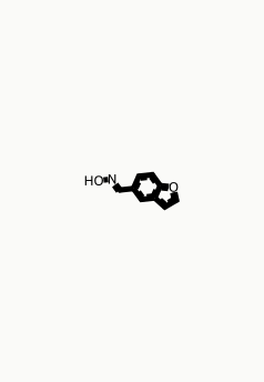 O/N=C/c1ccc2occc2c1